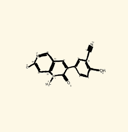 Cn1c(=O)c(-c2ccc(O)c(C#N)c2)cc2cnc(Cl)cc21